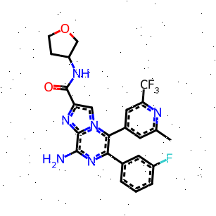 Cc1cc(-c2c(-c3cccc(F)c3)nc(N)c3nc(C(=O)NC4CCOC4)cn23)cc(C(F)(F)F)n1